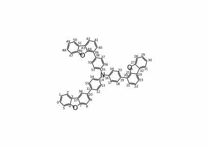 c1ccc2c(c1)oc1ccc(-c3ccc(N(c4ccc(-c5cccc6c5oc5ccccc56)cc4)c4ccc(-c5cccc6c5oc5ccccc56)cc4)cc3)cc12